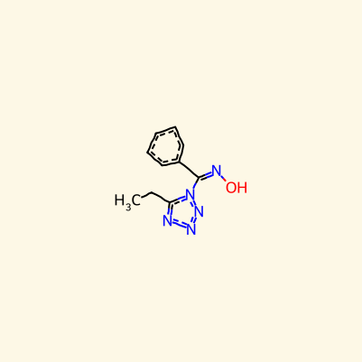 CCc1nnnn1C(=NO)c1ccccc1